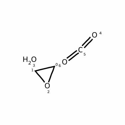 C1CO1.O.O=C=O